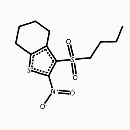 CCCCS(=O)(=O)c1c([N+](=O)[O-])sc2c1CCCC2